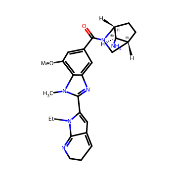 CCn1c(-c2nc3cc(C(=O)N4C[C@H]5CC[C@@H]4[C@@H]5N)cc(OC)c3n2C)cc2c1=NCCC=2